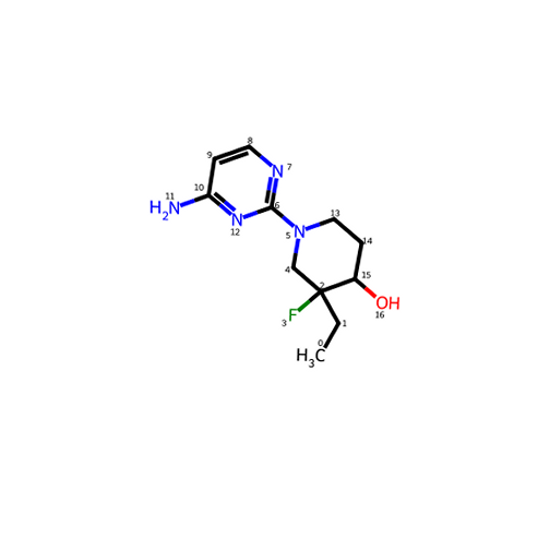 CCC1(F)CN(c2nccc(N)n2)CCC1O